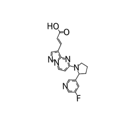 O=C(O)C=Cc1cnn2ccc(N3CCCC3c3cncc(F)c3)nc12